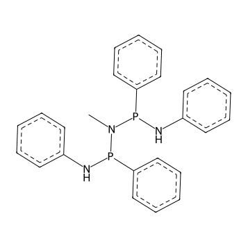 CN(P(Nc1ccccc1)c1ccccc1)P(Nc1ccccc1)c1ccccc1